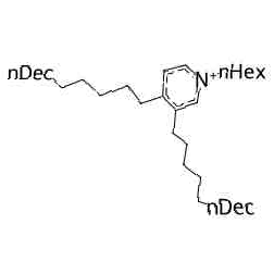 CCCCCCCCCCCCCCCc1cc[n+](CCCCCC)cc1CCCCCCCCCCCCCCC